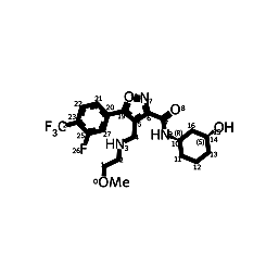 COCCNCc1c(C(=O)N[C@@H]2CCC[C@H](O)C2)noc1-c1ccc(C(F)(F)F)c(F)c1